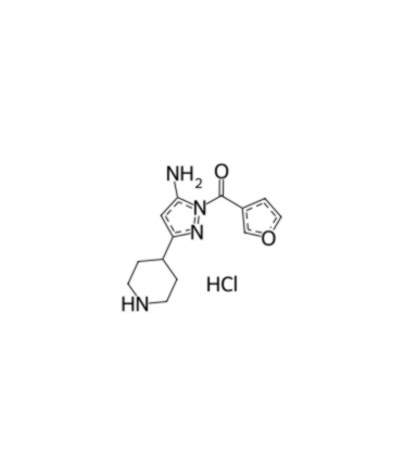 Cl.Nc1cc(C2CCNCC2)nn1C(=O)c1ccoc1